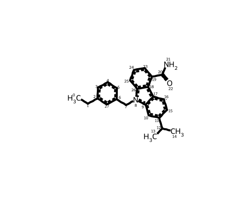 CCc1cccc(Cn2c3cc(C(C)C)c[c]c3c3c(C(N)=O)cccc32)c1